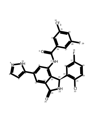 O=C(Nc1cc(-c2ccn[nH]2)cc2c1[C@@H](c1cc(F)ccc1Cl)NC2=O)c1cc(F)cc(C(F)(F)F)c1